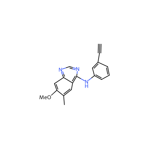 C#Cc1cccc(Nc2ncnc3cc(OC)c(C)cc23)c1